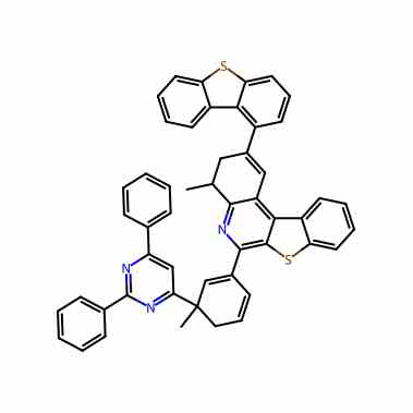 CC1CC(c2cccc3sc4ccccc4c23)=Cc2c1nc(C1=CC(C)(c3cc(-c4ccccc4)nc(-c4ccccc4)n3)CC=C1)c1sc3ccccc3c21